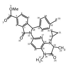 COC(=O)c1ccc2c(c1)C(=O)N(c1ccc3c(n1)N(C1CC1)C(C)C(=O)N3C)C2c1ccc(F)cc1